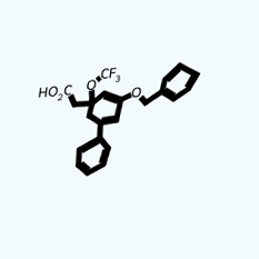 O=C(O)CC1(OC(F)(F)F)C=C(OCc2ccccc2)C=C(c2ccccc2)C1